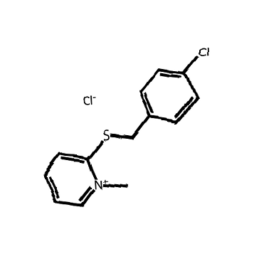 C[n+]1ccccc1SCc1ccc(Cl)cc1.[Cl-]